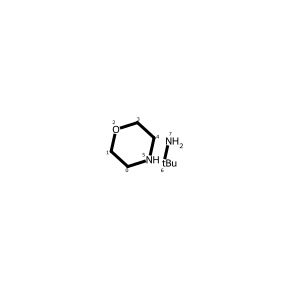 C1COCCN1.CC(C)(C)N